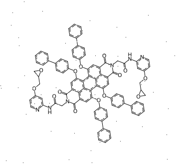 O=C(CN1C(=O)c2cc(Oc3ccc(-c4ccccc4)cc3)c3c4c(Oc5ccc(-c6ccccc6)cc5)cc5c6c(cc(Oc7ccc(-c8ccccc8)cc7)c(c7c(Oc8ccc(-c9ccccc9)cc8)cc(c2c37)C1=O)c64)C(=O)N(CC(=O)Nc1cc(OCC2CO2)ccn1)C5=O)Nc1cc(OCC2CO2)ccn1